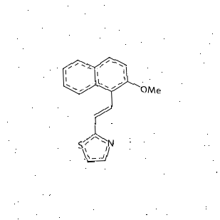 COc1ccc2ccccc2c1C=Cc1nccs1